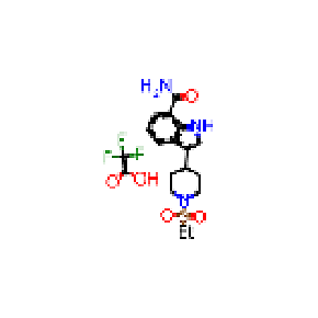 CCS(=O)(=O)N1CCC(c2c[nH]c3c(C(N)=O)cccc23)CC1.O=C(O)C(F)(F)F